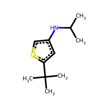 CC(C)Nc1csc(C(C)(C)C)c1